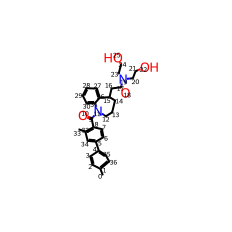 Cc1ccc(-c2ccc(C(=O)N3CCCC(CC(=O)N(CCO)CCO)c4ccccc43)c(C)c2)cc1